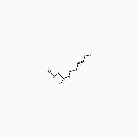 CC/C=C/CCCC(C)CC[O]